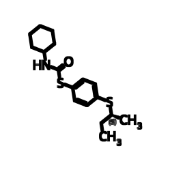 CC[C@H](C)Sc1ccc(SC(=O)NC2CCCCC2)cc1